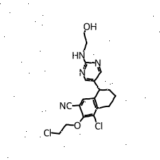 N#Cc1cc2c(c(Cl)c1OCCCl)CCCC2c1cnc(NCCO)nc1